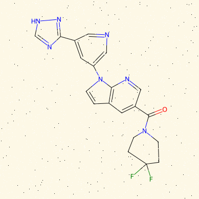 O=C(c1cnc2c(ccn2-c2cncc(-c3nc[nH]n3)c2)c1)N1CCC(F)(F)CC1